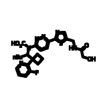 CCCCC(N(C(=O)O)c1ccc(-c2ncc(CNC(=O)CO)s2)nn1)C1(c2ncccc2F)CCC1